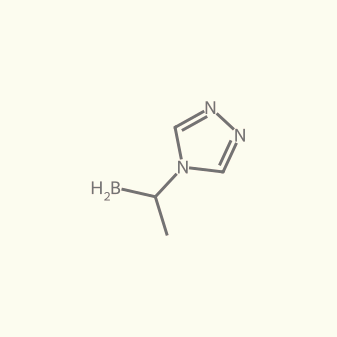 BC(C)n1cnnc1